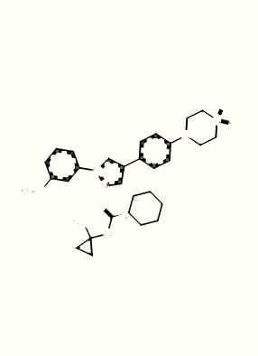 COc1cccc(-n2cc(-c3ccc(N4CCS(=O)(=O)CC4)cc3)c([C@@H]3CCCC[C@H]3C(=O)NC3(C#N)CC3)n2)c1